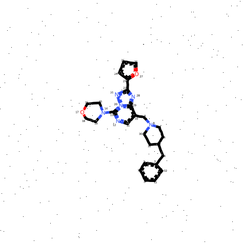 c1ccc(CC2CCN(Cc3cnc(N4CCOCC4)n4nc(-c5ccco5)nc34)CC2)cc1